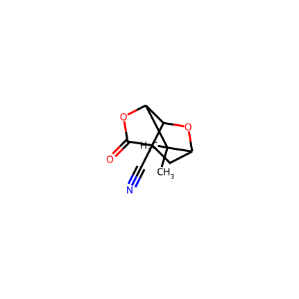 CC1(C)C2CC3(C#N)C(=O)OC1C3O2